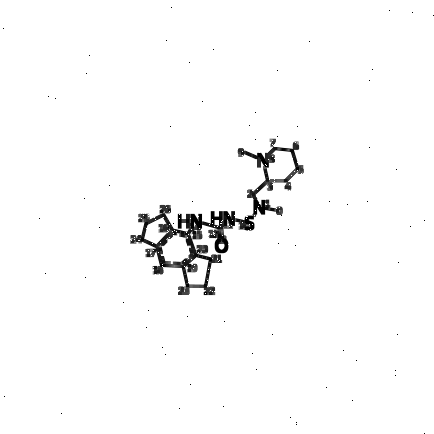 CN(CC1CCCCN1C)SNC(=O)Nc1c2c(cc3c1CCC3)CCC2